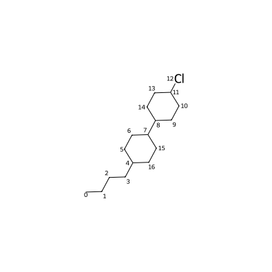 CCCCC1CCC(C2CCC(Cl)CC2)CC1